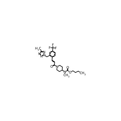 CCCCOC(=O)N(C)C1CCN(C(=O)C=Cc2ccc(C(F)(F)F)cc2Cn2nnc(C)n2)CC1